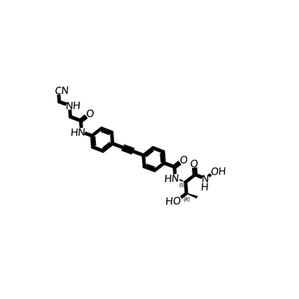 C[C@@H](O)[C@H](NC(=O)c1ccc(C#Cc2ccc(NC(=O)CNCC#N)cc2)cc1)C(=O)NO